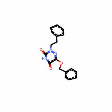 O=c1[nH]c(=O)n(CCc2ccccc2)nc1OCc1ccccc1